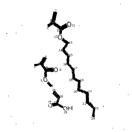 C=C(C)C(=O)OC.C=C(C)C(=O)OCCCCCCCCCCCC.C=CC(=O)O